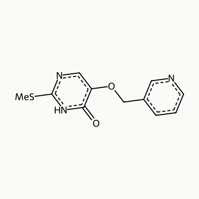 CSc1ncc(OCc2cccnc2)c(=O)[nH]1